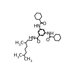 CC(C)CCCC(C)CCNC(=O)c1cc(NC(=O)C2CCCCC2)cc(NC(=O)C2CCCCC2)c1